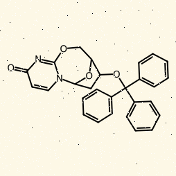 O=c1ccn2c(n1)OCC1OC2CC1OC(c1ccccc1)(c1ccccc1)c1ccccc1